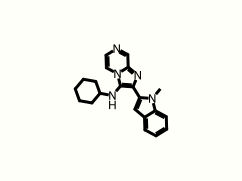 Cn1c(-c2nc3cnccn3c2NC2CCCCC2)cc2ccccc21